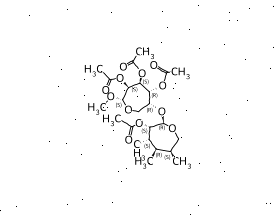 CO[C@H]1OC[C@@H](O[C@H]2OC[C@@H](C)[C@@H](C)[C@H](C)[C@@H]2OC(C)=O)[C@@H](OC(C)=O)[C@H](OC(C)=O)[C@@H]1OC(C)=O